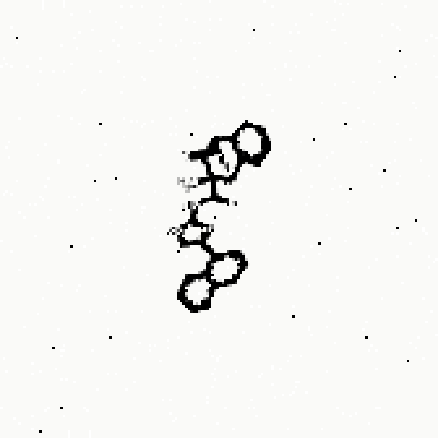 CC1(C(=O)Nc2nc(-c3cccc4ccccc34)c[nH]2)CC2C(=O)NC1c1ccccc12